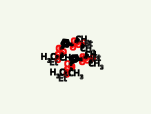 CCOC(C)OC(C)OC(=O)c1cccc(C(=O)OC(C)OC(C)OCC)c1.CCOC(C)OC(C)OC(=O)c1cccc(C(=O)OC(C)OC(C)OCC)c1